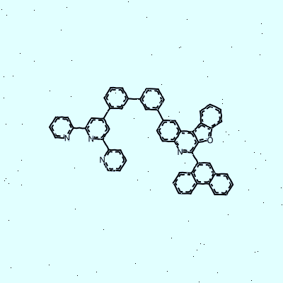 c1ccc(-c2cc(-c3cccc(-c4cccc(-c5ccc6nc(-c7cc8ccccc8c8ccccc78)c7oc8ccccc8c7c6c5)c4)c3)cc(-c3ccccn3)n2)nc1